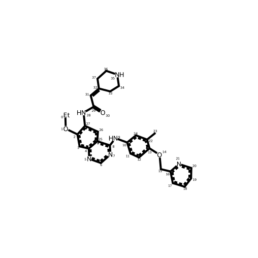 CCOc1cc2ncnc(Nc3ccc(OCc4ccccn4)c(C)c3)c2cc1NC(=O)C=C1CCNCC1